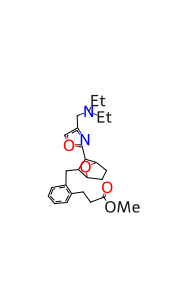 CCN(CC)Cc1coc(C2C3CCC(O3)C2Cc2ccccc2CCC(=O)OC)n1